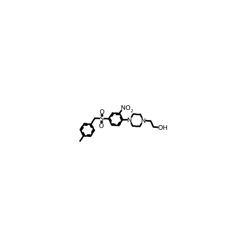 Cc1ccc(CS(=O)(=O)c2ccc(N3CCN(CCO)CC3)c([N+](=O)[O-])c2)cc1